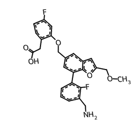 COCc1cc2cc(COc3cc(F)ccc3CC(=O)O)cc(-c3cccc(CN)c3F)c2o1